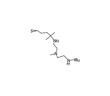 CN(CCNC(C)(C)C)CCNC(C)(C)CCC=S